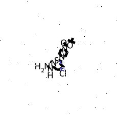 CN1S/C(N2CCN(C(=O)OC(C)(C)C)CC2)=C/C=C(/Cl)CC1NN